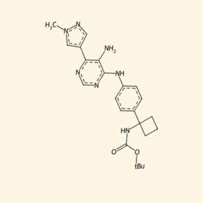 Cn1cc(-c2ncnc(Nc3ccc(C4(NC(=O)OC(C)(C)C)CCC4)cc3)c2N)cn1